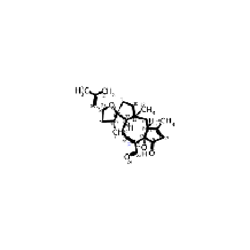 CC(C)=C[C@H]1C[C@H](C)[C@]2(CC[C@]3(C)C[C@@H]4C(C)=CC(=O)[C@]4(O)/C(C=O)=C\C[C@H]32)O1